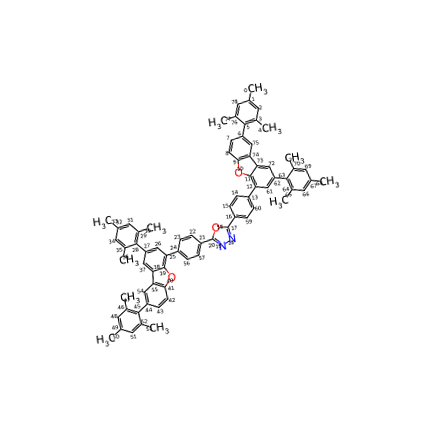 Cc1cc(C)c(-c2ccc3oc4c(-c5ccc(-c6nnc(-c7ccc(-c8cc(-c9c(C)cc(C)cc9C)cc9c8oc8ccc(-c%10c(C)cc(C)cc%10C)cc89)cc7)o6)cc5)cc(-c5c(C)cc(C)cc5C)cc4c3c2)c(C)c1